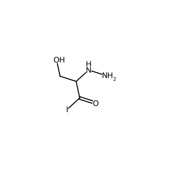 NNC(CO)C(=O)I